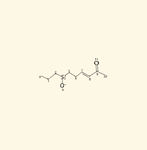 CCC[S+]([O-])CC/C=C/C(C)=O